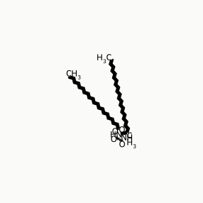 CCCCCCCCCCCCCCCCCCCCCCC(C)C(NC=O)(NC=O)OC(=O)CCCCCCCCCCCCCCCCCCCCC